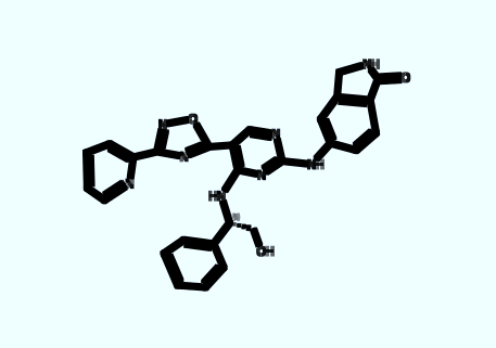 O=C1NCc2cc(Nc3ncc(-c4nc(-c5ccccn5)no4)c(N[C@H](CO)c4ccccc4)n3)ccc21